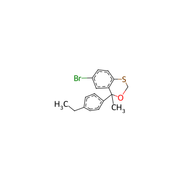 CCc1ccc(C2(C)OCSc3ccc(Br)cc32)cc1